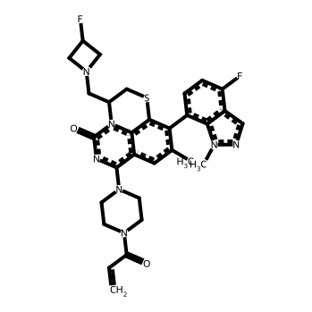 C=CC(=O)N1CCN(c2nc(=O)n3c4c(c(-c5ccc(F)c6cnn(C)c56)c(C)cc24)SCC3CN2CC(F)C2)CC1